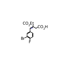 CCOC(=O)/C(=C/c1ccc(F)c(Br)c1)CC(=O)O